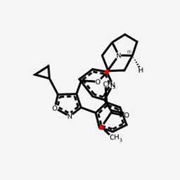 COC(=O)c1cccc(N2C3CC[C@H]2CC(OCc2c(-c4ccccc4C)noc2C2CC2)C3)n1